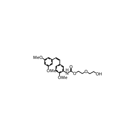 COc1cc(/C=C\c2ccc(OC)c(NC(=O)OCCOCCO)c2)cc(OC)c1